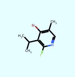 Cc1cnc(F)c(C(C)C)c1Br